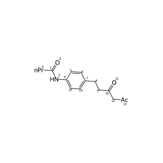 CCCC(=O)Nc1ccc(CCC(=O)CC(C)=O)cc1